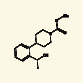 CC(O)c1ccccc1C1CCN(C(=O)OC(C)(C)C)CC1